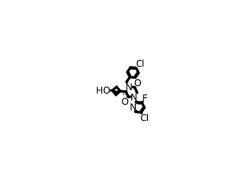 O=C1[C@H](C23CC(O)(C2)C3)N(Cc2ccc(Cl)cc2)C(=O)CN1c1ncc(Cl)cc1F